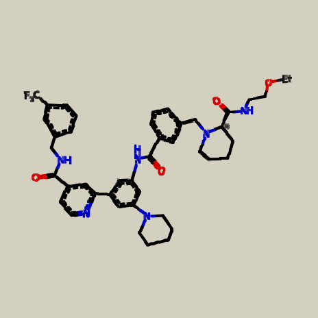 CCOCCNC(=O)[C@H]1CCCCN1Cc1cccc(C(=O)Nc2cc(-c3cc(C(=O)NCc4cccc(C(F)(F)F)c4)ccn3)cc(N3CCCCC3)c2)c1